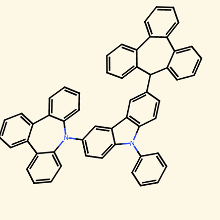 c1ccc(-n2c3ccc(C4c5ccccc5-c5ccccc5-c5ccccc54)cc3c3cc(N4c5ccccc5-c5ccccc5-c5ccccc54)ccc32)cc1